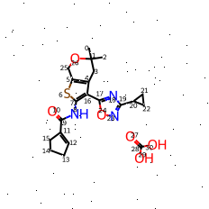 CC1(C)Cc2c(sc(NC(=O)C3=CCCC3)c2-c2nc(C3CC3)no2)CO1.O=C(O)O